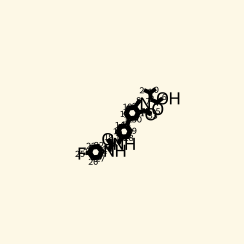 CC(C)C(C(=O)O)N1Cc2ccc(-c3ccc(NC(=O)Nc4ccc(F)cc4)cc3)cc2C1=O